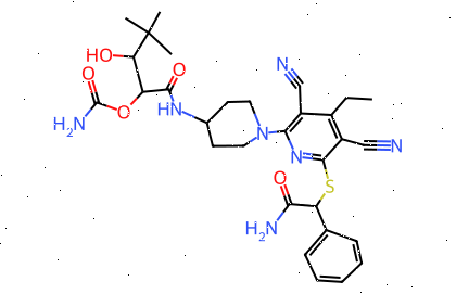 CCc1c(C#N)c(SC(C(N)=O)c2ccccc2)nc(N2CCC(NC(=O)C(OC(N)=O)C(O)C(C)(C)C)CC2)c1C#N